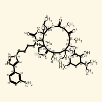 CC[C@H]1OC(=O)[C@H](C)C(=O)[C@H](C)[C@@H](O[C@@H]2OC(C)CC(N(C)C)C2O)[C@](C)(OC)C[C@@H](C)C2=NNC[C@@H]2[C@H]2N(CCCCn3cc(-c4cccc(N)c4)nn3)C(=O)O[C@]12C